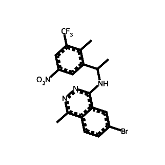 Cc1c(C(C)Nc2nnc(C)c3ccc(Br)cc23)cc([N+](=O)[O-])cc1C(F)(F)F